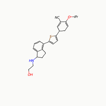 CC(C)OC1=CCC(c2ccc(-c3cccc4c3CCC4NCCO)s2)C=C1C#N